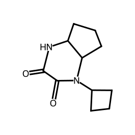 O=C1NC2CCCC2N(C2CCC2)C1=O